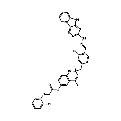 CC1=CC(C)(Cc2ccc(/C=N/Nc3nnc4c(n3)[nH]c3ccccc34)c(O)c2)Nc2ccc(OC(=O)COc3ccccc3Cl)cc21